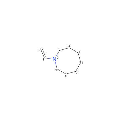 C=CN1CCCCCCC1